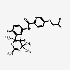 CC1(C)N=C(N)O[C@](C)(c2cc(NC(=O)c3ccc(OCC(F)F)cn3)ccc2F)C1(F)F